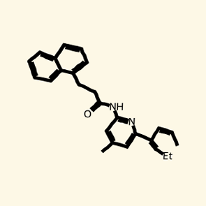 C/C=C\C(=C/CC)c1cc(C)cc(NC(=O)CCc2cccc3ccccc23)n1